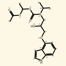 CC(=O)OC(C)OC(=O)N(CC(O)COc1cccc2[nH]ccc12)C(C)C